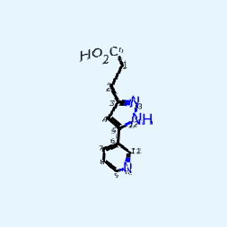 O=C(O)CCc1cc(-c2cccnc2)[nH]n1